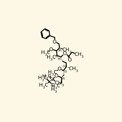 CCC(=O)O[C@H](CC[C@H](C)[C@H](C[C@@H](CC)O[Si](C)(C)C(C)(C)C)OC)[C@H](C)C(OC)[C@H](C)COCc1ccccc1